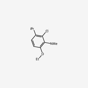 CCOc1ccc(C(C)C)c(Cl)c1NC